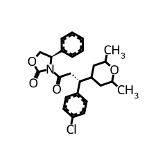 CC1CC([C@@H](CC(=O)N2C(=O)OC[C@H]2c2ccccc2)c2ccc(Cl)cc2)CC(C)O1